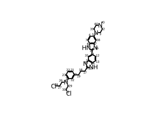 CN1CCN(c2ccc3[nH]c(-c4ccc5[nH]c(CCCc6cccc(N(CCCl)CCCl)c6)nc5c4)nc3c2)CC1